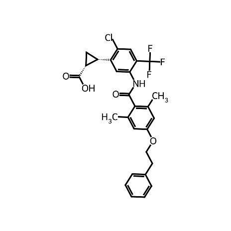 Cc1cc(OCCc2ccccc2)cc(C)c1C(=O)Nc1cc([C@H]2C[C@H]2C(=O)O)c(Cl)cc1C(F)(F)F